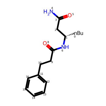 CCCC[C@@H](CC(N)=O)NC(=O)CCc1ccccc1